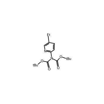 CCc1ccc(N(C(=O)OC(C)(C)C)C(=O)OC(C)(C)C)nc1